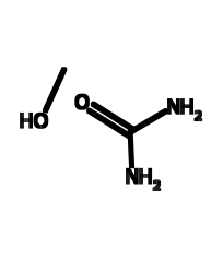 CO.NC(N)=O